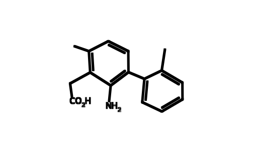 Cc1ccccc1-c1ccc(C)c(CC(=O)O)c1N